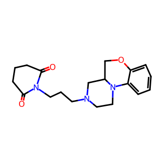 O=C1CCCC(=O)N1CCCN1CCN2c3ccccc3OCC2C1